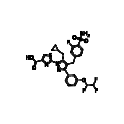 NS(=O)(=O)c1ccc(Cc2c(-c3cccc(OC(F)C(F)F)c3)nn(-c3nc(C(=O)O)cs3)c2CC2CC2)cc1F